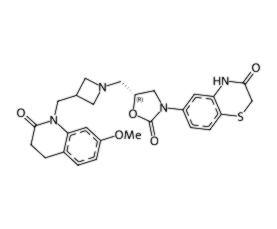 COc1ccc2c(c1)N(CC1CN(C[C@@H]3CN(c4ccc5c(c4)NC(=O)CS5)C(=O)O3)C1)C(=O)CC2